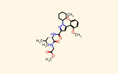 COC(=O)CNC(=O)[C@H](CC(C)C)NC(=O)c1cc(-c2c(OC)cccc2OC)n(C2CCCCC2)n1